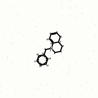 C1=CCC2CCCN(Cc3ccccc3)C2=C1